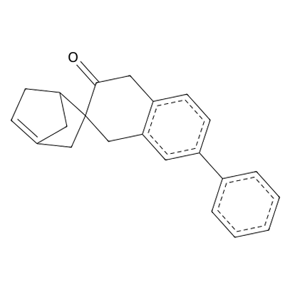 O=C1Cc2ccc(-c3ccccc3)cc2CC12CC1=CCC2C1